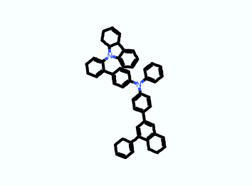 C1=CCCC(c2cc(-c3ccc(N(c4ccccc4)c4ccc(C5=CCCC=C5N5c6ccccc6C6C=CCCC65)cc4)cc3)cc3c2CCC=C3)=C1